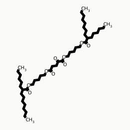 CCCCCCCCC(CCCCCC)C(=O)OCCCCCOC(=O)CCC(=O)C(=O)OCCCCCOC(=O)C(CCCCCC)CCCCCCCC